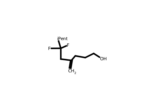 C=C(CCCO)CC(F)(F)C(C)CCC